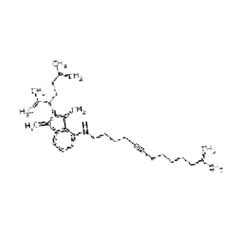 C=C(C)CCCCCC#CCCCCNc1cccc2c(=C)n(C(CCC(=C)C)C(=C)C)c(=C)c12